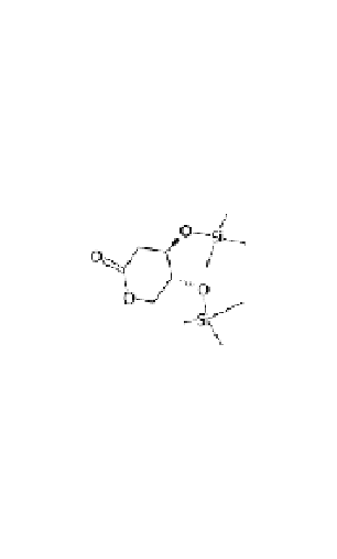 C[Si](C)(C)O[C@@H]1COC(=O)C[C@H]1O[Si](C)(C)C